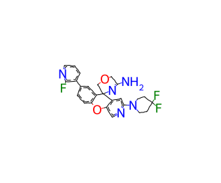 NC1=NC2(COC1)c1cc(-c3cccnc3F)ccc1Oc1cnc(N3CCC(F)(F)CC3)cc12